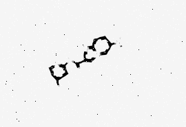 Cc1ccnc(NC(=O)c2cn3cc(N(C)C)ccc3n2)c1